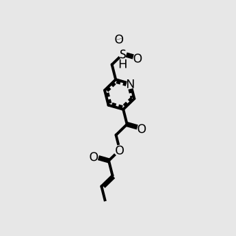 CC=CC(=O)OCC(=O)c1ccc(C[SH](=O)=O)nc1